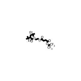 CCC(C)(C)CC(C(=O)OCCOC(=O)CCC(=O)OC(C(F)(F)F)C(F)(F)F)C(C)(C)CC